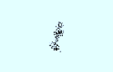 CC(C)(CC1NC(=O)N(C2CC3(CC(Oc4ncccc4C(N)=O)C3)C2)C1=O)c1ccccc1